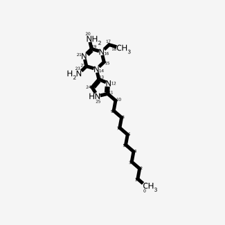 CCCCCCCCCCCc1nc(N2CN(CC)C(N)=NC2N)c[nH]1